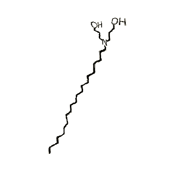 CCCCCCCCCCCCCCCCCCCCCN(CCCO)CCCO